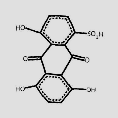 O=C1c2c(O)ccc(O)c2C(=O)c2c(S(=O)(=O)O)ccc(O)c21